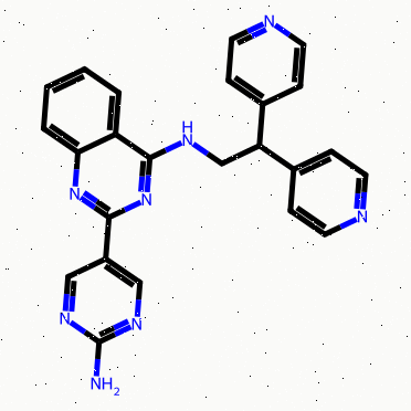 Nc1ncc(-c2nc(NCC(c3ccncc3)c3ccncc3)c3ccccc3n2)cn1